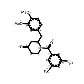 COc1ccc(CC2CC(=O)CCN2C(=O)c2cc(C(F)(F)F)cc(C(F)(F)F)c2)cc1OC